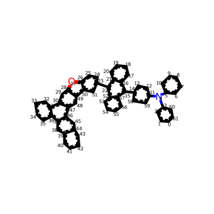 c1ccc(N(c2ccccc2)c2ccc(-c3c4ccccc4c(-c4ccc5oc6cc7c8ccccc8c8cc9ccccc9cc8c7cc6c5c4)c4ccccc34)cc2)cc1